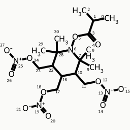 CC(C)C(=O)ON1C(C)(C)C(CO[N+](=O)[O-])C(CO[N+](=O)[O-])C(CO[N+](=O)[O-])C1(C)C